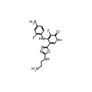 Bc1ccc(Nc2c(-c3nnc(NCCN)o3)cn(C)c(=O)c2F)c(F)c1